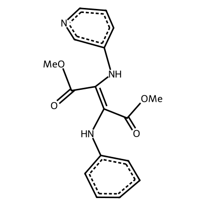 COC(=O)/C(Nc1ccccc1)=C(\Nc1cccnc1)C(=O)OC